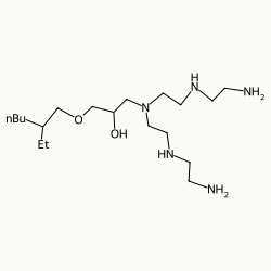 CCCCC(CC)COCC(O)CN(CCNCCN)CCNCCN